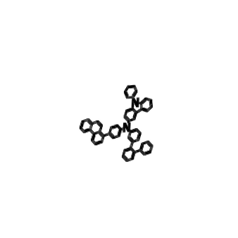 c1ccc(-c2ccccc2-c2cccc(N(c3ccc(-c4cccc5c4ccc4ccccc45)cc3)c3ccc4c(c3)c3ccccc3n4-c3ccccc3)c2)cc1